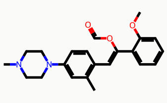 COc1ccccc1/C(=C/c1ccc(N2CCN(C)CC2)cc1C)OC=O